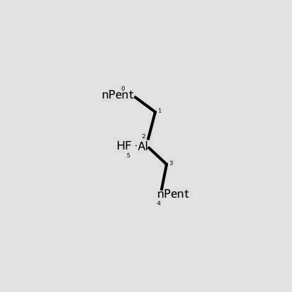 CCCCC[CH2][Al][CH2]CCCCC.F